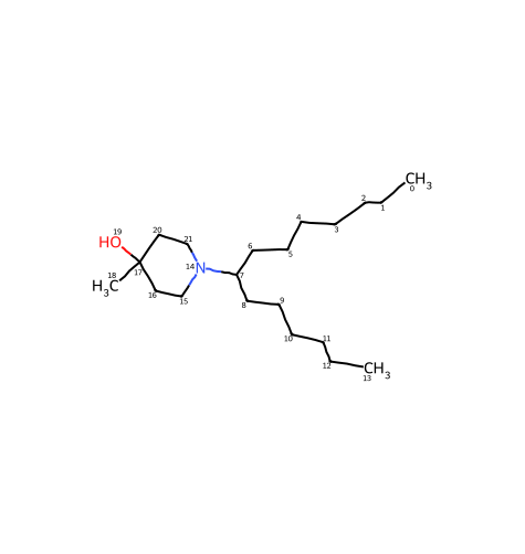 CCCCCCCC(CCCCCC)N1CCC(C)(O)CC1